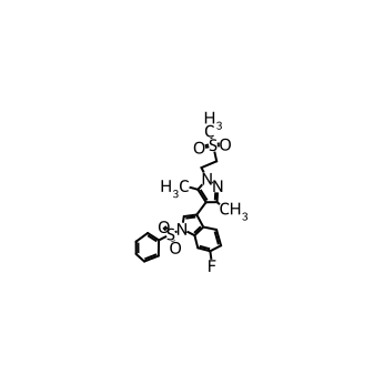 Cc1nn(CCS(C)(=O)=O)c(C)c1-c1cn(S(=O)(=O)c2ccccc2)c2cc(F)ccc12